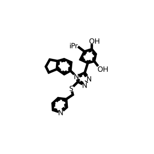 CC(C)c1cc(-c2nnc(SCc3cccnc3)n2-c2ccc3c(c2)CCC3)c(O)cc1O